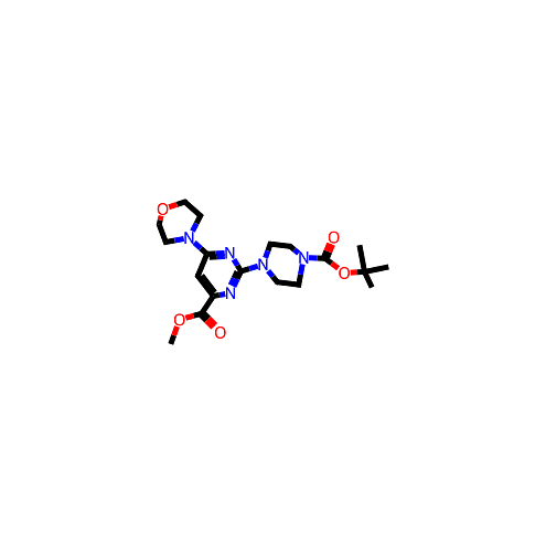 COC(=O)c1cc(N2CCOCC2)nc(N2CCN(C(=O)OC(C)(C)C)CC2)n1